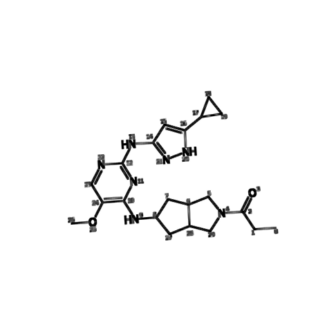 CCC(=O)N1CC2CC(Nc3nc(Nc4cc(C5CC5)[nH]n4)ncc3OC)CC2C1